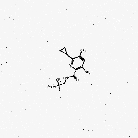 CC(O)(CNC(=O)c1nc(C2CC2)c(C(F)(F)F)cc1N)C(F)(F)F